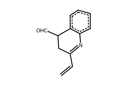 C=CC1=Nc2ccccc2C(C=O)C1